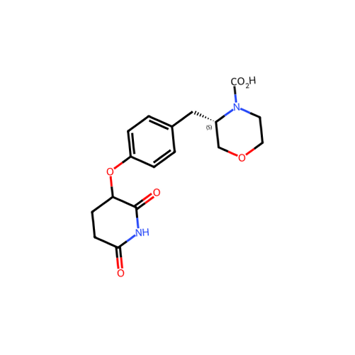 O=C1CCC(Oc2ccc(C[C@H]3COCCN3C(=O)O)cc2)C(=O)N1